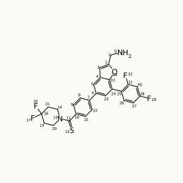 NCc1cc2cc(-c3ccc(C(=S)N4CCC(F)(F)CC4)cc3)cc(-c3ccc(F)cc3F)c2o1